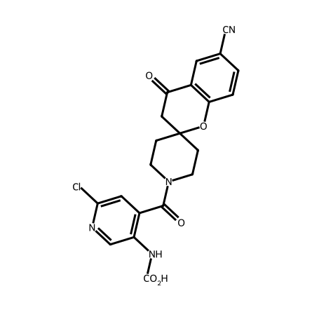 N#Cc1ccc2c(c1)C(=O)CC1(CCN(C(=O)c3cc(Cl)ncc3NC(=O)O)CC1)O2